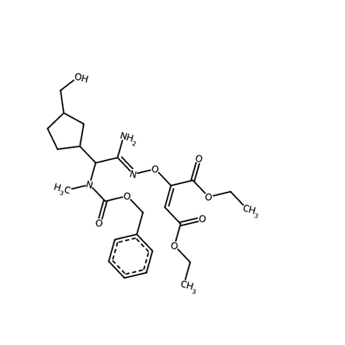 CCOC(=O)C=C(ON=C(N)C(C1CCC(CO)C1)N(C)C(=O)OCc1ccccc1)C(=O)OCC